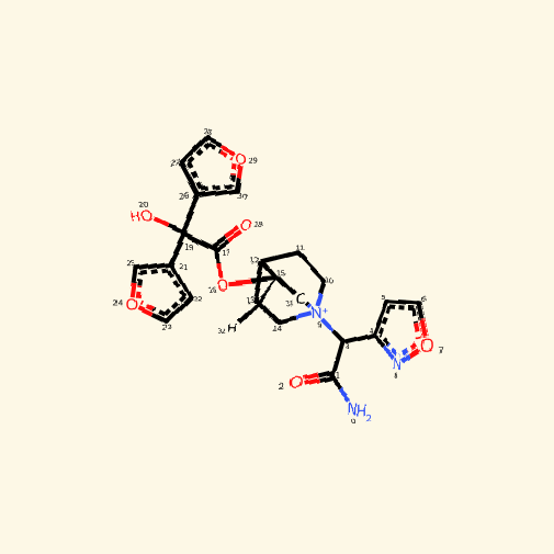 NC(=O)C(c1ccon1)[N+]12CCC(CC1)[C@@H](OC(=O)C(O)(c1ccoc1)c1ccoc1)C2